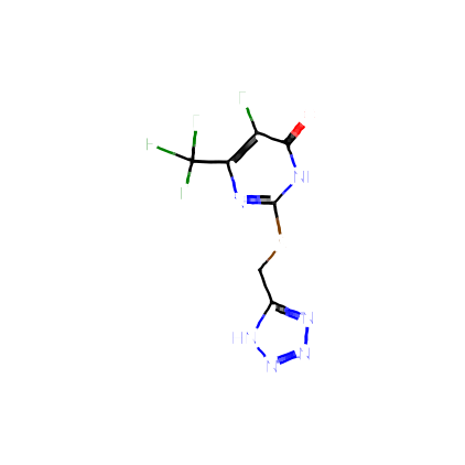 O=c1[nH]c(SCc2nnn[nH]2)nc(C(F)(F)F)c1F